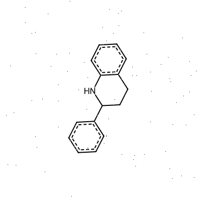 [c]1ccccc1C1CCc2ccccc2N1